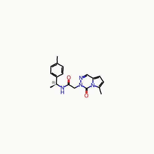 Cc1ccc([C@H](C)NC(=O)Cn2ncc3ccc(C)n3c2=O)cc1